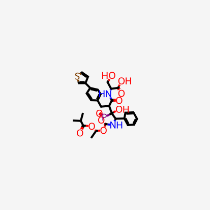 CC(OC(=O)NC(c1ccccc1)C(O)(P=O)C(Cc1ccc(-c2ccsc2)cc1)C(=O)NC(CO)C(=O)O)OC(=O)C(C)C